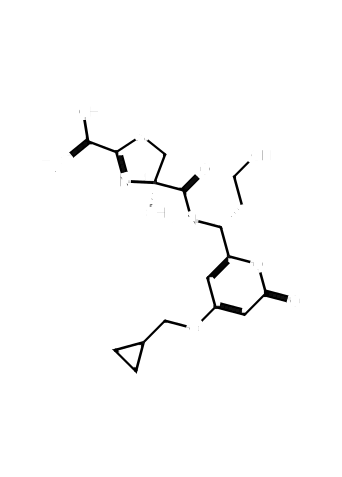 C=C(C)C1=N[C@](C)(C(=O)N[C@H](CCC)c2cc(OCC3CC3)cc(=O)o2)CS1